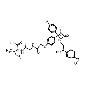 CSc1ccc(C(O)CS[C@H]2C(=O)N[C@@]2(c2ccc(F)cc2)c2ccc(OCC(=O)NCC(=O)N[C@@H](C(=O)O)C(C)C)cc2)cc1